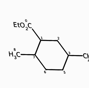 CCOC(=O)C1CC(C)CCC1C